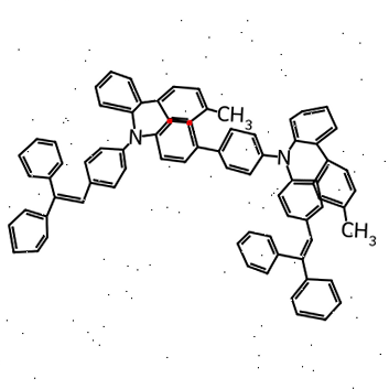 Cc1ccc(-c2ccccc2N(c2ccc(C=C(c3ccccc3)c3ccccc3)cc2)c2ccc(-c3ccc(N(c4ccc(C=C(c5ccccc5)c5ccccc5)cc4)c4ccccc4-c4ccc(C)cc4)cc3)cc2)cc1